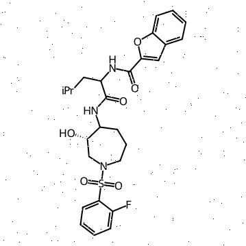 CC(C)CC(NC(=O)c1cc2ccccc2o1)C(=O)NC1CCCN(S(=O)(=O)c2ccccc2F)C[C@@H]1O